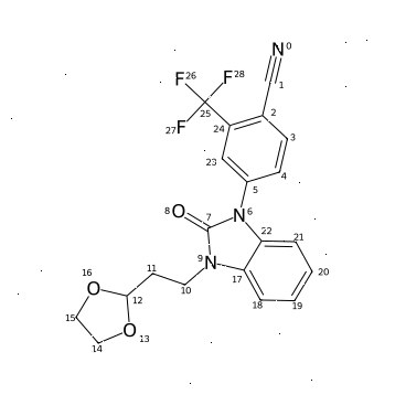 N#Cc1ccc(-n2c(=O)n(CCC3OCCO3)c3ccccc32)cc1C(F)(F)F